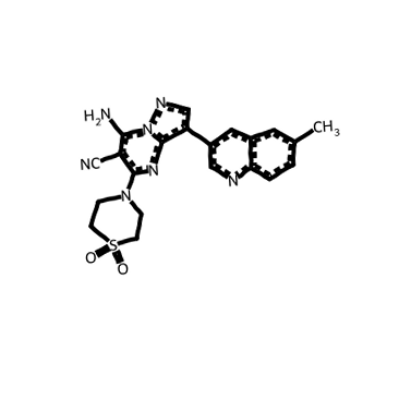 Cc1ccc2ncc(-c3cnn4c(N)c(C#N)c(N5CCS(=O)(=O)CC5)nc34)cc2c1